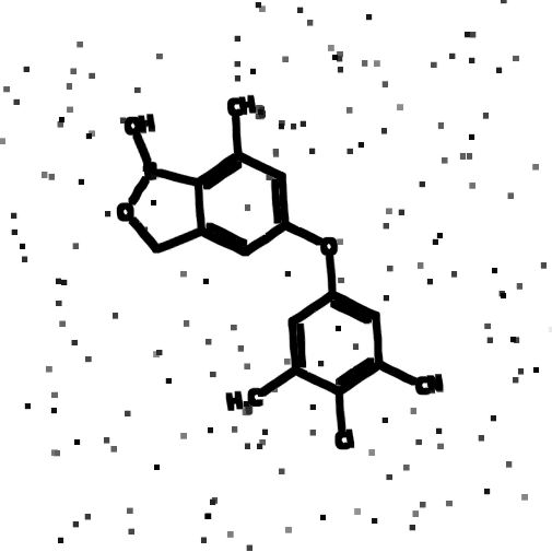 Cc1cc(Oc2cc(C)c3c(c2)COB3O)cc(C#N)c1Cl